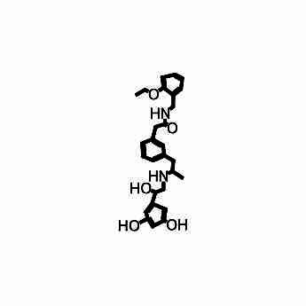 CCOc1ccccc1CNC(=O)Cc1cccc(CC(C)NCC(O)c2cc(O)cc(O)c2)c1